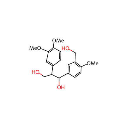 COc1ccc(C(O)C(CO)c2ccc(OC)c(OC)c2)cc1CO